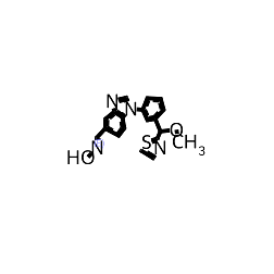 COC(c1cccc(-n2cnc3cc(/C=N/O)ccc32)c1)c1nccs1